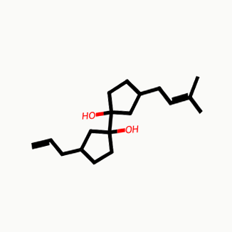 C=CCC1CCC(O)(C2(O)CCC(CC=C(C)C)C2)C1